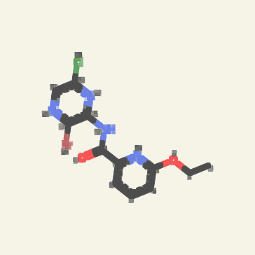 CCOc1cccc(C(=O)Nc2nc(Cl)cnc2Br)n1